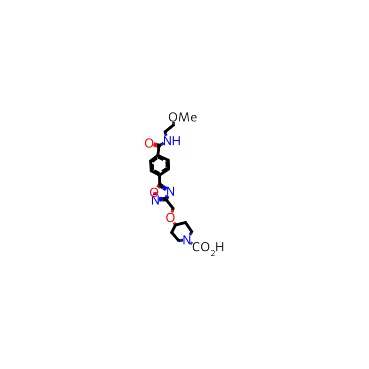 COCCNC(=O)c1ccc(-c2nc(COC3CCN(C(=O)O)CC3)no2)cc1